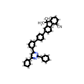 CC1(C)c2cc(-c3ccc(-c4cccc(-c5cc(-c6ccccc6)nc(-c6ccccc6)n5)c4)cc3)ccc2-c2c(C#N)cccc21